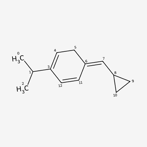 CC(C)C1=CCC(=CC2CC2)C=C1